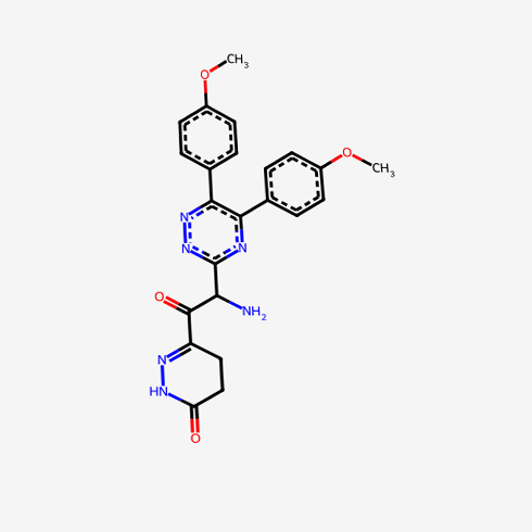 COc1ccc(-c2nnc(C(N)C(=O)C3=NNC(=O)CC3)nc2-c2ccc(OC)cc2)cc1